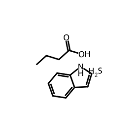 CCCC(=O)O.S.c1ccc2[nH]ccc2c1